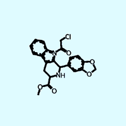 COC(=O)C1Cc2c(n(C(=O)CCl)c3ccccc23)C(c2ccc3c(c2)OCO3)N1